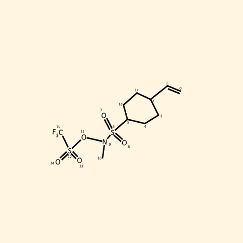 C=CC1CCC(S(=O)(=O)N(C)OS(=O)(=O)C(F)(F)F)CC1